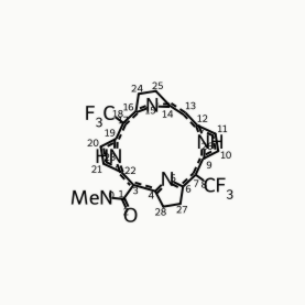 CNC(=O)c1c2nc(c(C(F)(F)F)c3ccc(cc4nc(c(C(F)(F)F)c5ccc1[nH]5)CC4)[nH]3)CC2